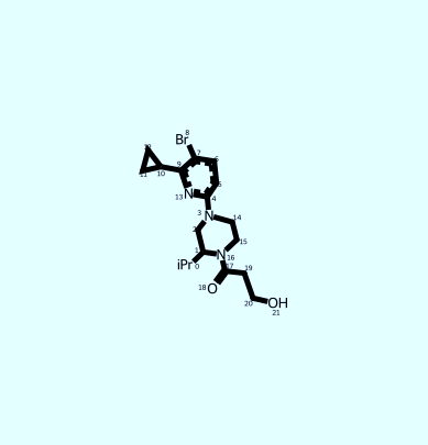 CC(C)C1CN(c2ccc(Br)c(C3CC3)n2)CCN1C(=O)CCO